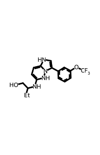 CCC(CO)NC1=CC=C2NC=C(c3cccc(OC(F)(F)F)c3)N2N1